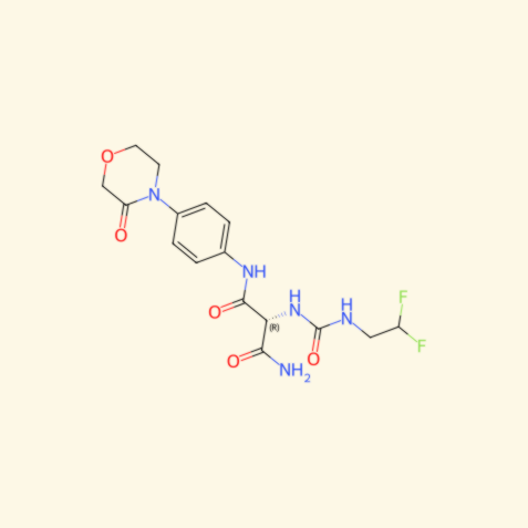 NC(=O)[C@@H](NC(=O)NCC(F)F)C(=O)Nc1ccc(N2CCOCC2=O)cc1